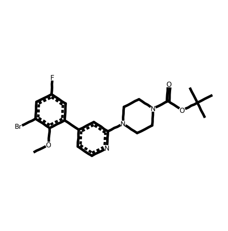 COc1c(Br)cc(F)cc1-c1ccnc(N2CCN(C(=O)OC(C)(C)C)CC2)c1